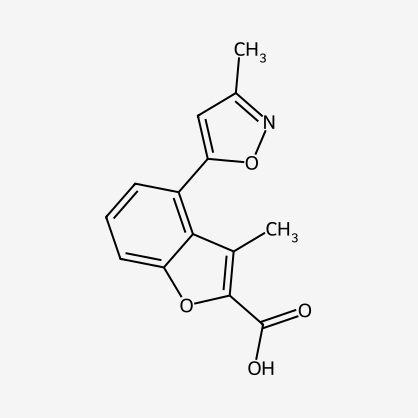 Cc1cc(-c2cccc3oc(C(=O)O)c(C)c23)on1